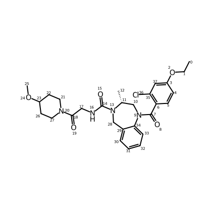 CCOc1ccc(C(=O)N2C[C@@H](C)N(C(=O)NCC(=O)N3CCC(OC)CC3)Cc3ccccc32)c(Cl)c1